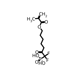 C=C(C)C(=O)OCCCCCC(=O)C(F)(F)P(=O)(O)O